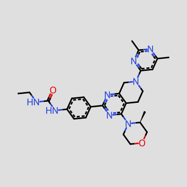 CCNC(=O)Nc1ccc(-c2nc3c(c(N4CCOC[C@@H]4C)n2)CCN(c2cc(C)nc(C)n2)C3)cc1